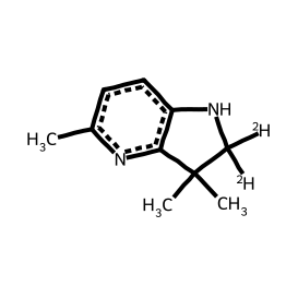 [2H]C1([2H])Nc2ccc(C)nc2C1(C)C